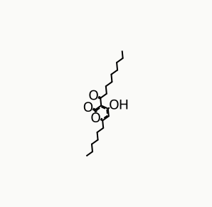 CCCCCCCCC(=O)c1c(O)cc(CCCCCC)oc1=O